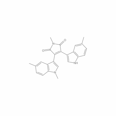 Cc1ccc2[nH]cc(C3=C(c4cn(C)c5ccc(C)cc45)C(=O)N(C)C3=O)c2c1